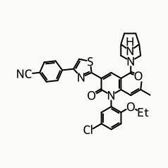 CCOc1ccc(Cl)cc1-n1c(C=C(C)C)c(C(=O)N2CC3CCC(C2)N3)cc(-c2nc(-c3ccc(C#N)cc3)cs2)c1=O